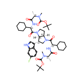 C[C@@H](C(=O)N[C@H](C(=O)N1CC[C@@H]2[C@H]1[C@@H](c1c[nH]c3cc(F)ccc13)CN2C(=O)[C@@H](NC(=O)[C@H](C)N(C)C(=O)OC(C)(C)C)C1CCCCC1)C1CCCCC1)N(C)C(=O)OC(C)(C)C